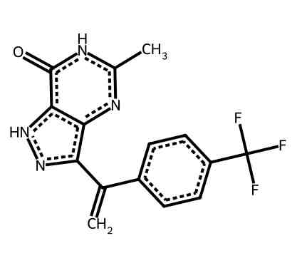 C=C(c1ccc(C(F)(F)F)cc1)c1n[nH]c2c(=O)[nH]c(C)nc12